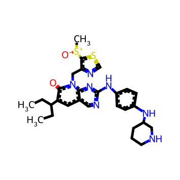 CCC(CC)c1cc2cnc(Nc3ccc(NC4CCCNC4)cc3)nc2n(Cc2ncsc2[S+](C)[O-])c1=O